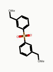 COCc1cccc(S(=O)(=O)c2cccc(COC)c2)c1